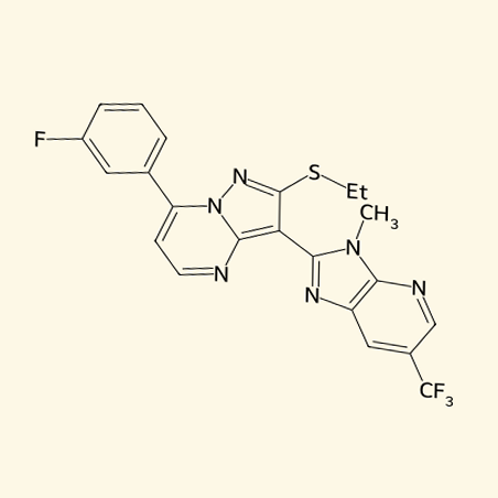 CCSc1nn2c(-c3cccc(F)c3)ccnc2c1-c1nc2cc(C(F)(F)F)cnc2n1C